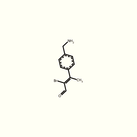 C/C(=C(/Br)C=O)c1ccc(CN)cc1